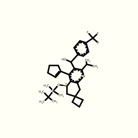 CC(C)c1nc2c(c(C3=CCCC3)c1C(O)c1ccc(C(F)(F)F)cc1)[C@H](O[Si](C)(C)C(C)(C)C)CC1(CCC1)C2